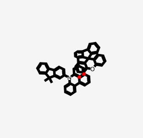 CC1(C)c2ccccc2-c2ccc(N(c3cccc(-c4cccc5c4C4(c6ccccc6Oc6ccccc64)c4ccccc4-5)c3)c3ccccc3-c3ccccc3)cc21